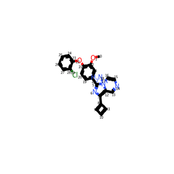 COc1cc(C2=NC(C3=CC=C3)=C3C=NC=C[N+]23N)ccc1Oc1ccccc1Cl